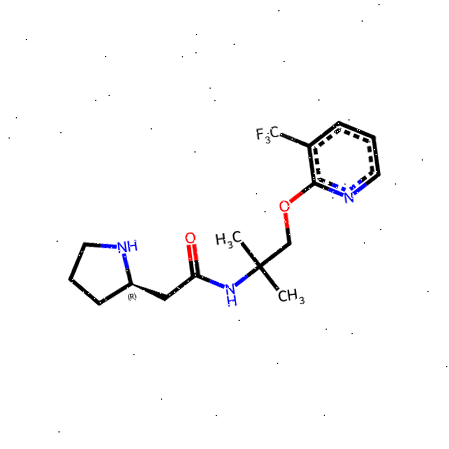 CC(C)(COc1ncccc1C(F)(F)F)NC(=O)C[C@H]1CCCN1